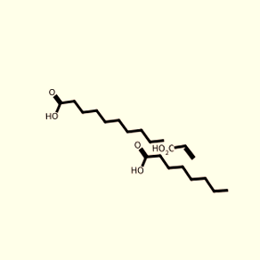 C=CC(=O)O.CCCCCCCC(=O)O.CCCCCCCCCC(=O)O